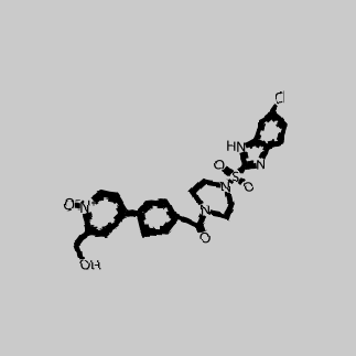 O=C(c1ccc(-c2cc[n+]([O-])c(CO)c2)cc1)N1CCN(S(=O)(=O)c2nc3ccc(Cl)cc3[nH]2)CC1